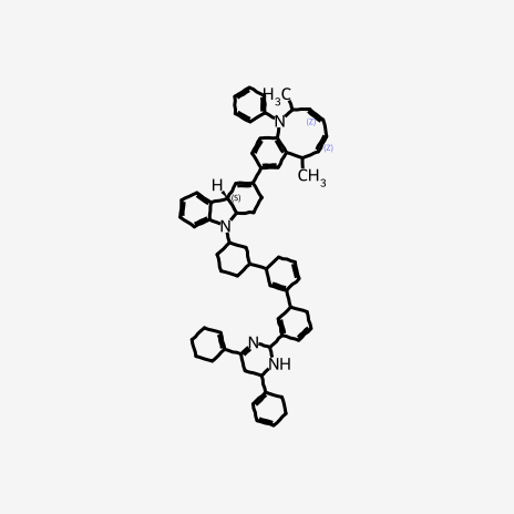 CC1/C=C\C=C/C(C)N(c2ccccc2)c2ccc(C3=C[C@H]4c5ccccc5N(C5CCCC(C6C=C(C7C=C(C8N=C(C9=CCCCC9)CC(C9=CC=CCC9)N8)C=CC7)C=CC6)C5)C4CC3)cc21